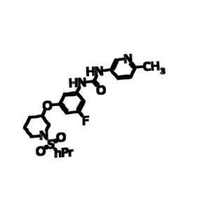 CCCS(=O)(=O)N1CCCC(Oc2cc(F)cc(NC(=O)Nc3ccc(C)nc3)c2)C1